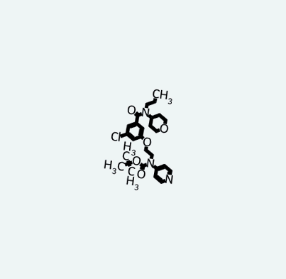 CCCN(C(=O)c1cc(Cl)cc(OCCN(C(=O)OC(C)(C)C)c2ccncc2)c1)C1CCOCC1